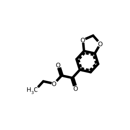 CCOC(=O)C(=O)c1ccc2c(c1)OCO2